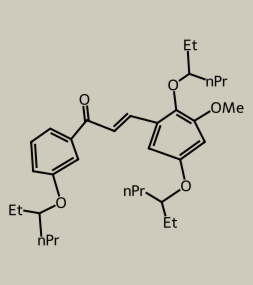 CCCC(CC)Oc1cccc(C(=O)C=Cc2cc(OC(CC)CCC)cc(OC)c2OC(CC)CCC)c1